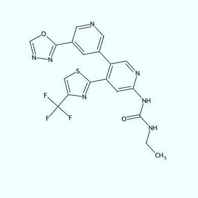 CCNC(=O)Nc1cc(-c2nc(C(F)(F)F)cs2)c(-c2cncc(-c3nnco3)c2)cn1